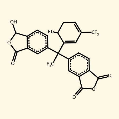 CCC1CC=C(C(F)(F)F)C=C1C(c1ccc2c(c1)C(=O)OC2=O)(c1ccc2c(c1)C(=O)OC2O)C(F)(F)F